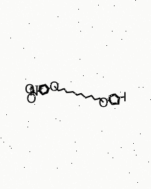 O=[N+]([O-])c1ccc(OCCCCCCCCCCOc2ccc(I)cc2)cc1